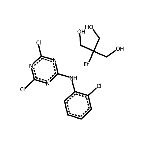 CCC(CO)(CO)CO.Clc1nc(Cl)nc(Nc2ccccc2Cl)n1